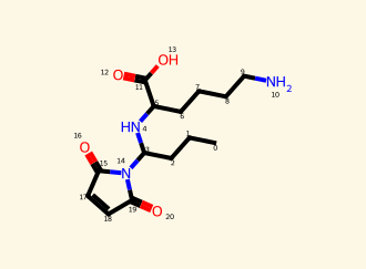 CCCC(NC(CCCCN)C(=O)O)N1C(=O)C=CC1=O